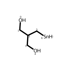 OCC(CO)[CH2][SnH]